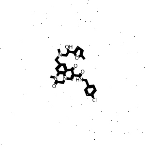 Cc1ccc(C(O)CN(C)Cc2cc3c4c(c2)c(=O)c(C(=O)NCc2ccc(Cl)cc2)cn4CC(=O)N3C)o1